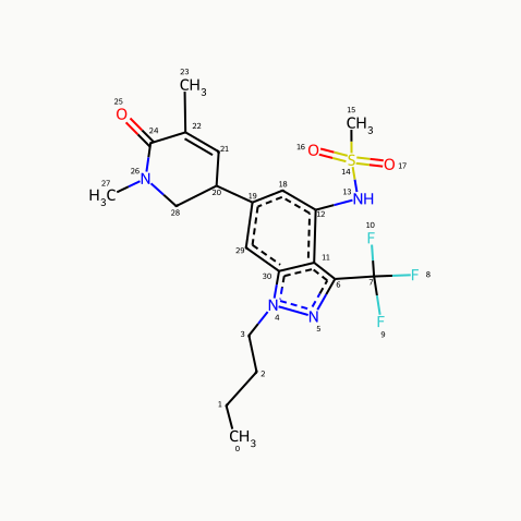 CCCCn1nc(C(F)(F)F)c2c(NS(C)(=O)=O)cc(C3C=C(C)C(=O)N(C)C3)cc21